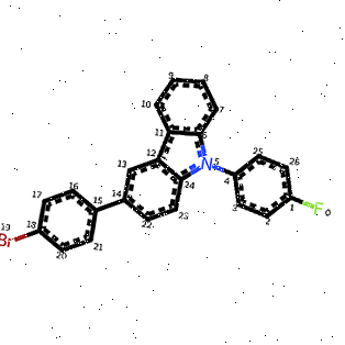 Fc1ccc(-n2c3ccccc3c3cc(-c4ccc(Br)cc4)ccc32)cc1